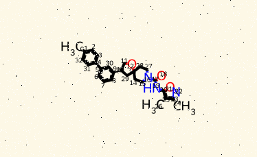 Cc1ccc(-c2cccc([C@H]3COC4(CCN(C(=O)Nc5onc(C)c5C)CC4)C3)c2)cc1